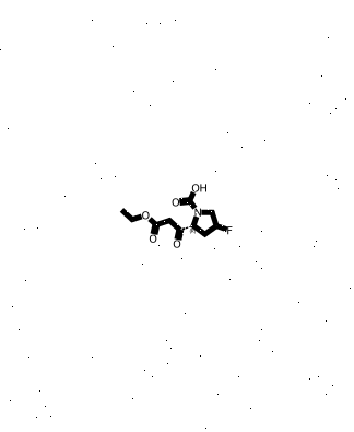 CCOC(=O)CC(=O)[C@H]1CC(F)CN1C(=O)O